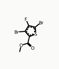 COC(=O)c1sc(Br)c(F)c1Br